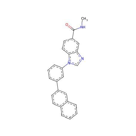 CNC(=O)c1ccc2c(c1)ncn2-c1cccc(-c2ccc3ccccc3c2)c1